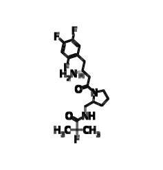 CC(C)(F)C(=O)NCC1CCCN1C(=O)C[C@H](N)Cc1cc(F)c(F)cc1F